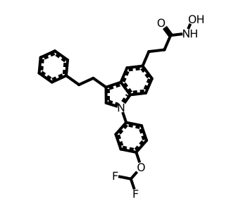 O=C(CCc1ccc2c(c1)c(CCc1ccccc1)cn2-c1ccc(OC(F)F)cc1)NO